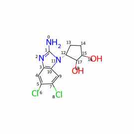 Nc1nc2cc(Cl)c(Cl)cc2n1[C@@H]1CCC(O)C1O